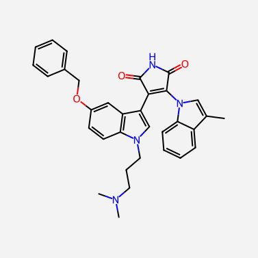 Cc1cn(C2=C(c3cn(CCCN(C)C)c4ccc(OCc5ccccc5)cc34)C(=O)NC2=O)c2ccccc12